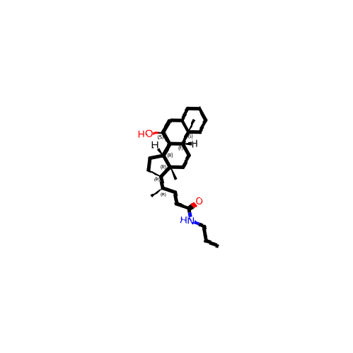 CCCNC(=O)CC[C@@H](C)[C@H]1CC[C@@H]2C3[C@@H](CC[C@@]21C)[C@@]1(C)CCCCC1C[C@@H]3O